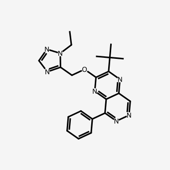 CCn1ncnc1COc1nc2c(-c3ccccc3)nncc2nc1C(C)(C)C